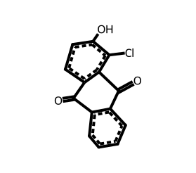 O=C1c2ccccc2C(=O)c2c1ccc(O)c2Cl